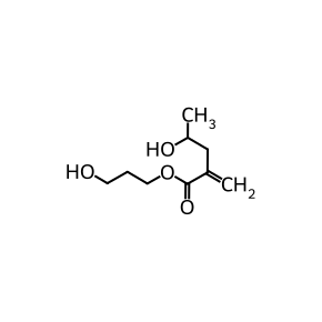 C=C(CC(C)O)C(=O)OCCCO